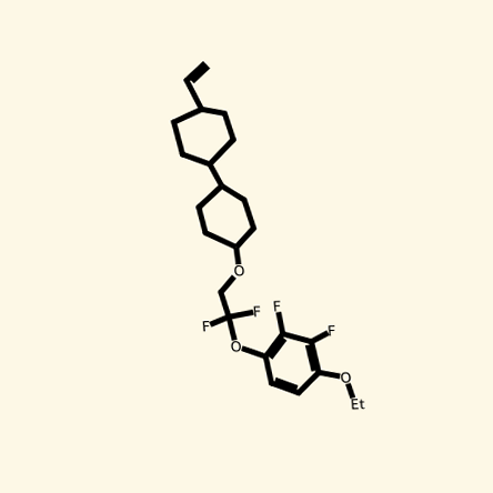 C=CC1CCC(C2CCC(OCC(F)(F)Oc3ccc(OCC)c(F)c3F)CC2)CC1